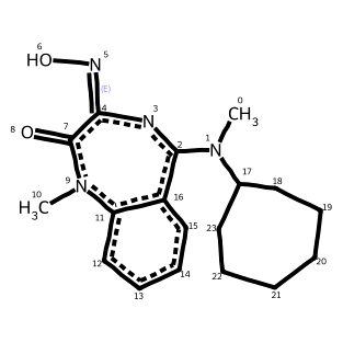 CN(c1n/c(=N/O)c(=O)n(C)c2ccccc12)C1CCCCCC1